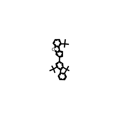 CC(C)(C)c1cc(-c2ccc3c(c2)oc2cccc(C(C)(C)C)c23)cc2c1-c1ccccc1C2(C)C